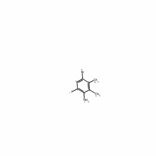 Cc1c(N)c(I)cc(Br)c1C(F)(F)F